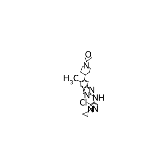 Cc1cc2cnc(Nc3cnn(C4CC4)c3Cl)nc2cc1C1CCN(C2COC2)CC1